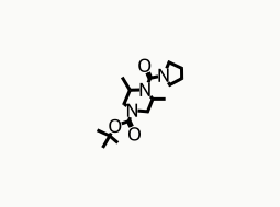 CC1CN(C(=O)OC(C)(C)C)CC(C)N1C(=O)N1CCCC1